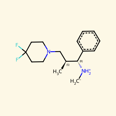 [CH2-][NH2+][C@@H](c1ccccc1)[C@@H](C)CN1CCC(F)(F)CC1